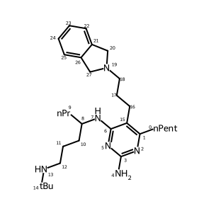 CCCCCc1nc(N)nc(NC(CCC)CCCNC(C)(C)C)c1CCCN1Cc2ccccc2C1